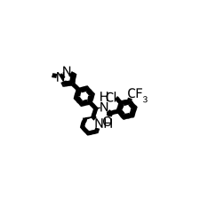 Cn1cc(-c2ccc([C@H](NC(=O)c3cccc(C(F)(F)F)c3Cl)[C@@H]3CCCCN3)cc2)cn1